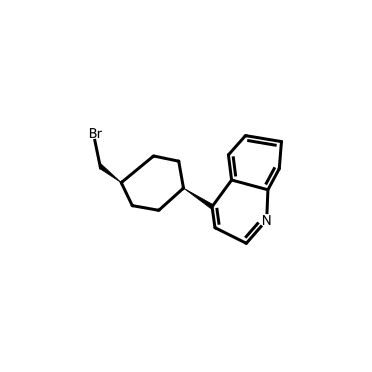 BrC[C@H]1CC[C@@H](c2ccnc3ccccc32)CC1